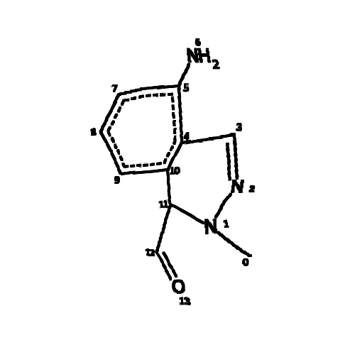 CN1N=Cc2c(N)cccc2C1C=O